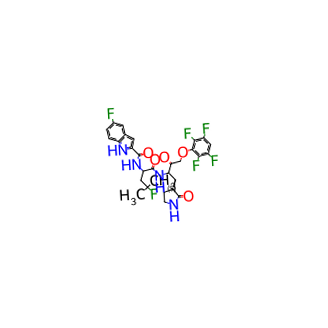 CC(C)(F)CC(NC(=O)c1cc2cc(F)ccc2[nH]1)C(=O)NC(C[C@@H]1CCNC1=O)C(=O)COc1c(F)c(F)cc(F)c1F